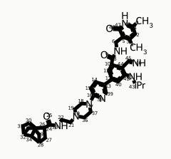 Cc1cc(C)c(CNC(=O)c2cc(-c3ccc(N4CCN(CCNC(=O)C56CC7CC8CC(C5)C7C86)CC4)nc3)cc(NC(C)C)c2C=N)c(=O)[nH]1